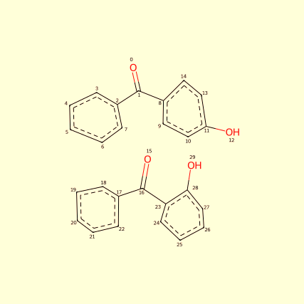 O=C(c1ccccc1)c1ccc(O)cc1.O=C(c1ccccc1)c1ccccc1O